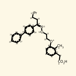 Cc1c(CC(=O)O)cccc1OCCON=C(CCC(C)C)c1ccc(-c2ccccc2)cc1